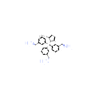 CC(C)(C)C1=CC=C[C]1[Si](c1cccc(CN)c1)(c1cccc(CN)c1)c1cccc(CN)c1